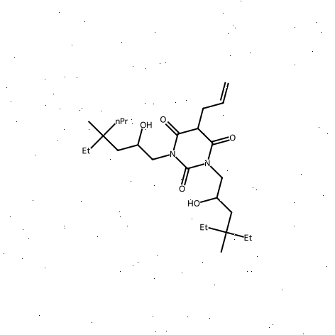 C=CCC1C(=O)N(CC(O)CC(C)(CC)CC)C(=O)N(CC(O)CC(C)(CC)CCC)C1=O